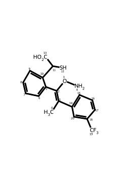 CC(=C(ON)c1ccccc1C(S)C(=O)O)c1cccc(C(F)(F)F)c1